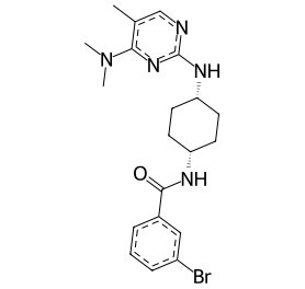 Cc1cnc(N[C@H]2CC[C@@H](NC(=O)c3cccc(Br)c3)CC2)nc1N(C)C